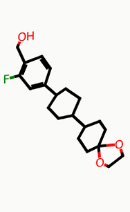 OCc1ccc(C2CCC(C3CCC4(CC3)OCCO4)CC2)cc1F